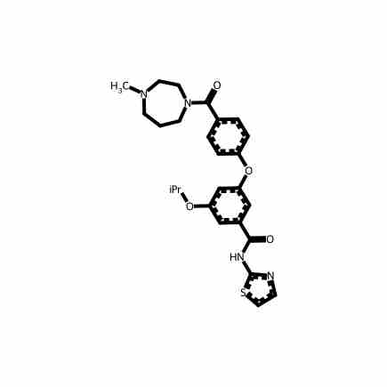 CC(C)Oc1cc(Oc2ccc(C(=O)N3CCCN(C)CC3)cc2)cc(C(=O)Nc2nccs2)c1